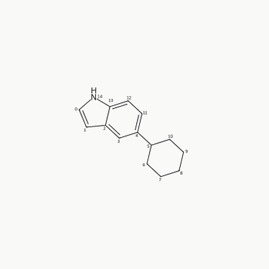 c1cc2cc(C3CCCCC3)ccc2[nH]1